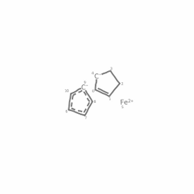 C1=CCC[CH-]1.[Fe+2].c1cc[cH-]c1